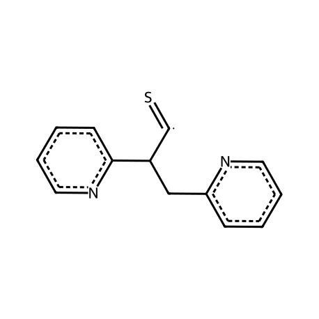 S=[C]C(Cc1ccccn1)c1ccccn1